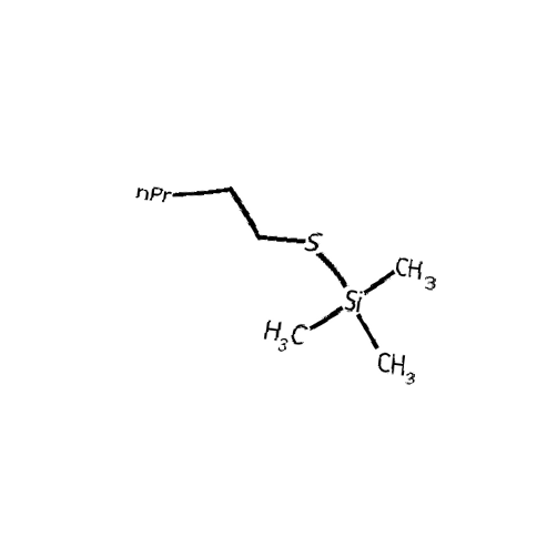 CCCCCS[Si](C)(C)C